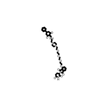 O=C1CCC(N2C(=O)c3cccc(OCCOCCOCCOCCN4CCN(CCNC=C5C(=O)CC(c6ccccc6)CC5=O)CC4)c3C2=O)C(=O)N1